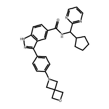 O=C(NC(c1ncccn1)C1CCCC1)c1ccc2[nH]nc(-c3ccc(N4CC5(COC5)C4)cc3)c2c1